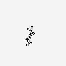 c1ccc(-n2c3ccccc3c3cc4c(cc32)c2ccccc2n4-c2ncc3nc(-n4c5ccccc5c5cc6c(cc54)c4ccccc4n6-c4ccccc4)ncc3n2)cc1